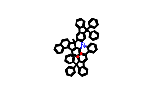 CC12c3cc4c(cc3N(c3ccccc3-c3ccc5c(c3)-c3ccccc3C5(c3ccccc3)c3ccccc3)c3cccc(c31)-c1c2ccc2ccccc12)C(c1ccccc1)(c1ccccc1)c1ccccc1-4